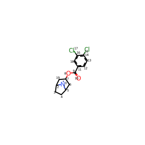 CN1C2CCC1CC(OC(=O)c1ccc(Cl)c(Cl)c1)C2